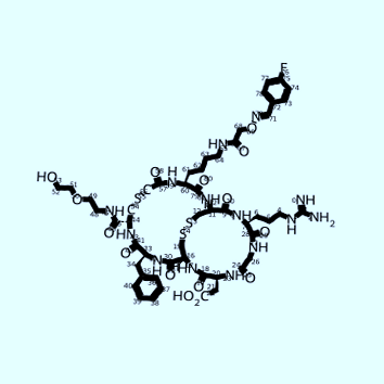 N=C(N)NCCC[C@@H]1NC(=O)[C@@H]2CSSC[C@H](NC(=O)[C@H](CC(=O)O)NC(=O)CNC1=O)C(=O)N[C@@H](Cc1ccccc1)C(=O)N[C@H](C(=O)NCCOCCO)CSCC(=O)N[C@@H](CCCCNC(=O)CO/N=C/c1ccc(F)cc1)C(=O)N2